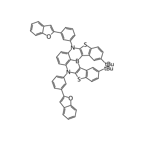 CC(C)(C)c1ccc2sc3c(c2c1)B1c2c(cccc2N(c2cccc(-c4cc5ccccc5o4)c2)c2sc4ccc(C(C)(C)C)cc4c21)N3c1cccc(-c2cc3ccccc3o2)c1